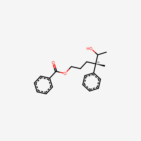 CC(O)[C@@](C)(CCCOC(=O)c1ccccc1)c1ccccc1